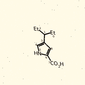 CCC(CC)c1c[nH]c(C(=O)O)c1